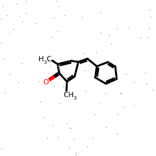 CC1=CC(=Cc2ccccc2)C=C(C)C1=O